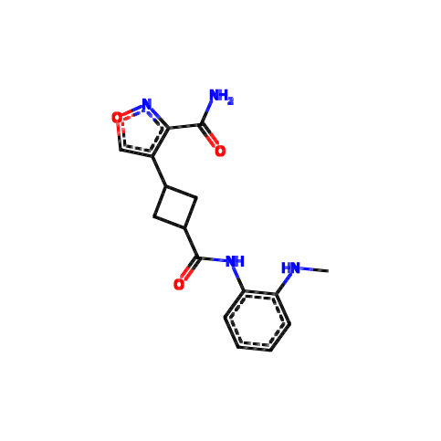 CNc1ccccc1NC(=O)C1CC(c2conc2C(N)=O)C1